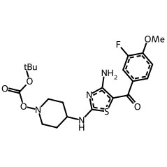 COc1ccc(C(=O)c2sc(NC3CCN(OC(=O)OC(C)(C)C)CC3)nc2N)cc1F